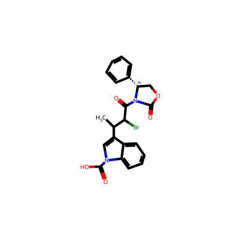 CC(c1cn(C(=O)O)c2ccccc12)C(Br)C(=O)N1C(=O)OC[C@H]1c1ccccc1